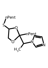 CCCCCSC1COC(CCCCC)(C(C)n2ccnc2)O1